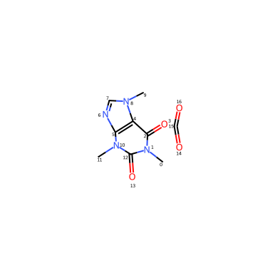 Cn1c(=O)c2c(ncn2C)n(C)c1=O.O=C=O